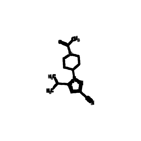 CC(=O)N1CCC(n2nc(C#N)cc2C(C)C)CC1